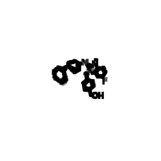 Cn1/c(=N/c2ccc(C3CCCCC3)cc2)n(Cc2ccc(CO)cc2)c2cc(F)ccc21